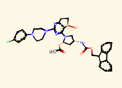 COC(=O)O[C@H]1C[C@@H](NC(=O)OCC2c3ccccc3-c3ccccc32)CN1c1nc(N2CCN(c3ccc(Cl)cc3)CC2)nc2c1[S+]([O-])CC2